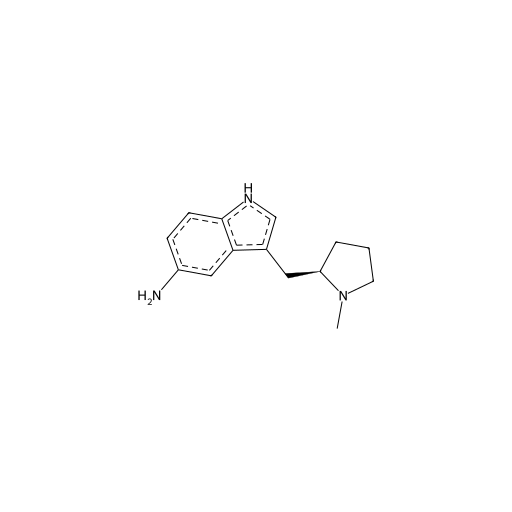 CN1CCC[C@@H]1Cc1c[nH]c2ccc(N)cc12